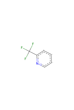 FC(F)(F)c1[c][c][c]cn1